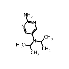 CC(C)N(c1cnc(N)nc1)C(C)C